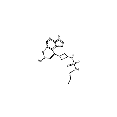 CCCNS(=O)(=O)N[C@H]1C[C@@H](C2=CB(O)Oc3cnc4[nH]ccc4c32)C1